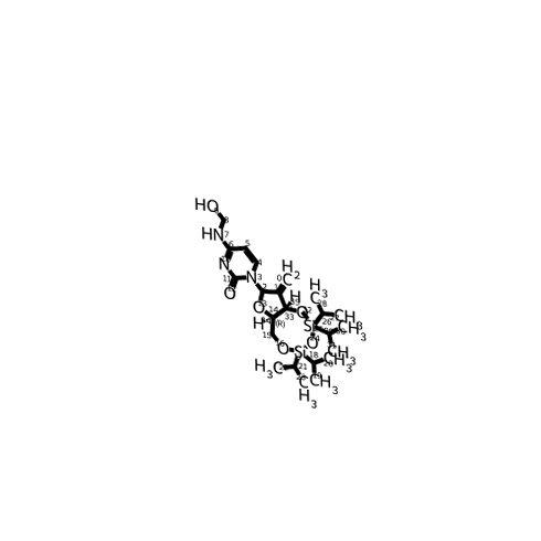 C=C1C(n2ccc(NCO)nc2=O)O[C@@H]2CO[Si](C(C)C)(C(C)C)O[Si](C(C)C)(C(C)C)O[C@@H]12